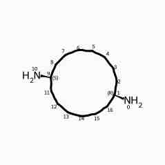 N[C@@H]1CCCCCCC[C@H](N)CCCCCC1